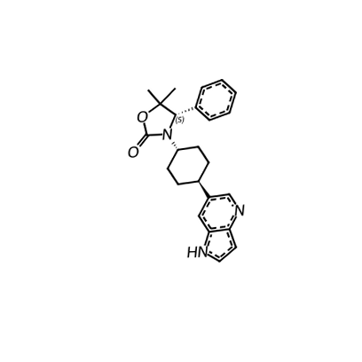 CC1(C)OC(=O)N([C@H]2CC[C@H](c3cnc4cc[nH]c4c3)CC2)[C@H]1c1ccccc1